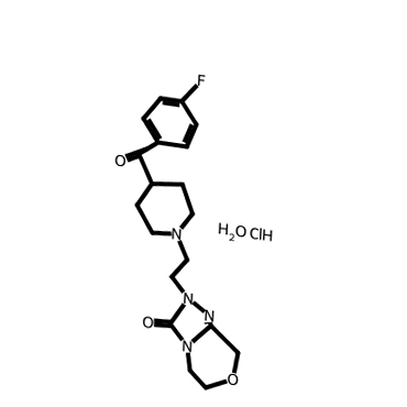 Cl.O.O=C(c1ccc(F)cc1)C1CCN(CCn2nc3n(c2=O)CCOC3)CC1